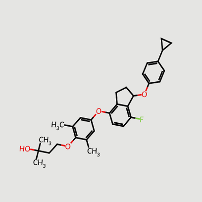 Cc1cc(Oc2ccc(F)c3c2CCC3Oc2ccc(C3CC3)cc2)cc(C)c1OCCC(C)(C)O